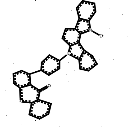 CCn1c2ccccc2c2ccc3c(c4ccccc4n3-c3ccc(-c4cccc5sc6ccccc6c(=O)c45)cc3)c21